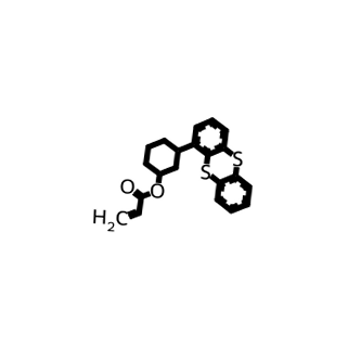 C=CC(=O)OC1CCCC(c2cccc3c2Sc2ccccc2S3)C1